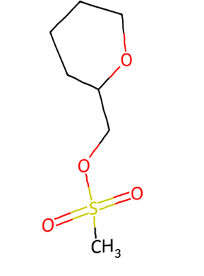 CS(=O)(=O)OCC1CCCCO1